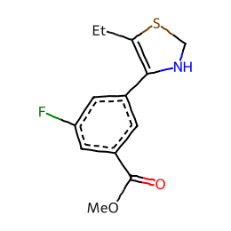 CCC1=C(c2cc(F)cc(C(=O)OC)c2)NCS1